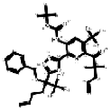 C=CCCC(OCc1ccccc1)(c1nnc(-c2nc(C(=O)C(C)(C)CC=C)c(C(F)(F)F)cc2NC(=O)OC(C)(C)C)o1)C(F)(F)F